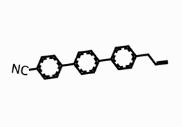 C=CCc1ccc(-c2ccc(-c3ccc(C#N)cc3)cc2)cc1